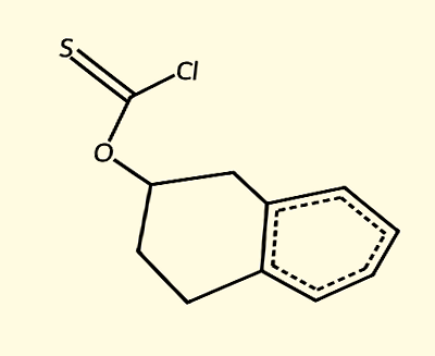 S=C(Cl)OC1CCc2ccccc2C1